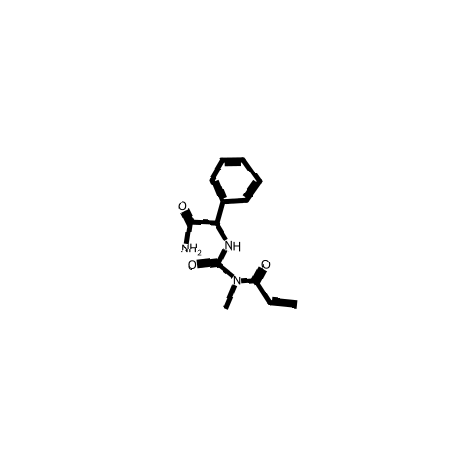 C=CC(=O)N(C)C(=O)NC(C(N)=O)c1ccccc1